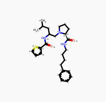 CC(C)CC(CN1CCC[C@H]1C(=O)NCCCCc1ccccc1)NC(=O)c1cccs1